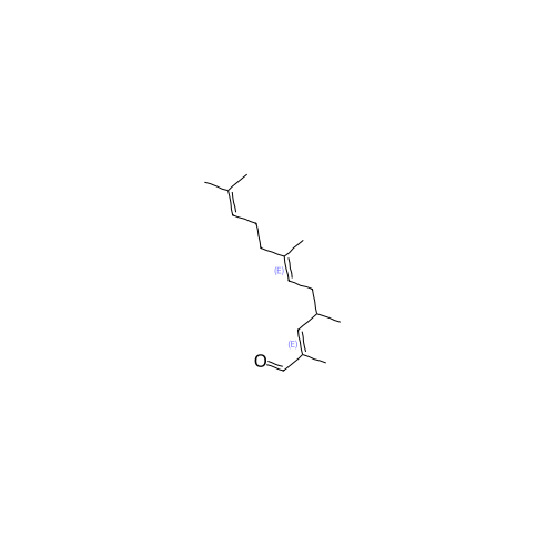 CC(C)=CCC/C(C)=C/CC(C)/C=C(\C)C=O